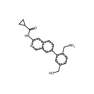 NCc1ccc(CO)cc1-c1ccc2cc(NC(=O)C3CC3)ncc2c1